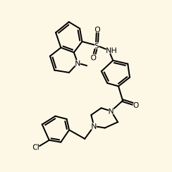 CN1CC=Cc2cccc(S(=O)(=O)Nc3ccc(C(=O)N4CCN(Cc5cccc(Cl)c5)CC4)cc3)c21